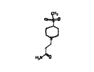 CS(=O)(=O)C1CCN(C[CH]C(N)=O)CC1